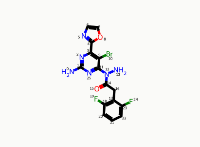 Nc1nc(-c2ncco2)c(Br)c(N(N)C(=O)Cc2c(F)cccc2F)n1